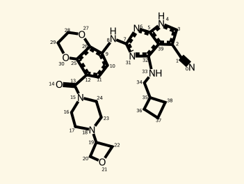 N#Cc1c[nH]c2nc(Nc3ccc(C(=O)N4CCN(C5COC5)CC4)c4c3OCCO4)nc(NCC3CCC3)c12